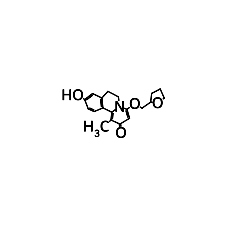 Cc1c2n(c(OCC3CCCO3)cc1=O)CCc1cc(O)ccc1-2